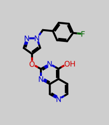 Oc1nc(Oc2cnn(Cc3ccc(F)cc3)c2)nc2cnccc12